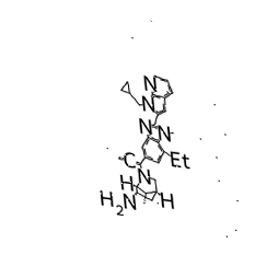 C=C=C(c1cc(CC)c2c(c1)nc(-c1cc3cccnc3n1CC1CC1)n2C)N1C[C@@H]2C[C@@H](N)[C@H]1C2C